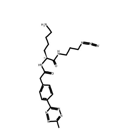 Cc1nnc(-c2ccc(CC(=O)N[C@@H](CCCCN)C(=O)NCCCN=[N+]=[N-])cc2)nn1